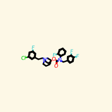 O=C(OC1C[N+]2(CCc3cc(F)cc(Cl)c3)CCC1CC2)N(Cc1ccc(F)c(F)c1)c1ccccc1F